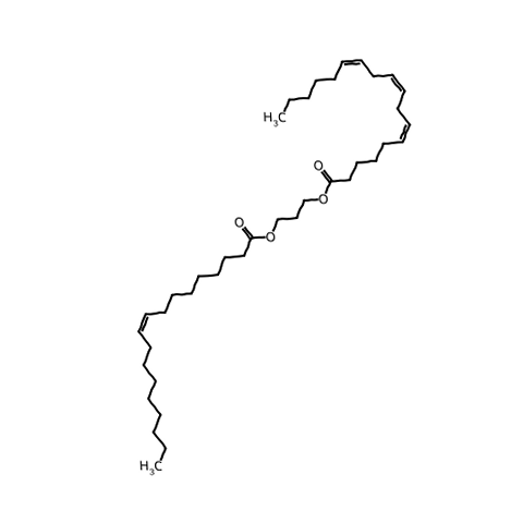 CCCCC/C=C\C/C=C\C/C=C\CCCCC(=O)OCCCOC(=O)CCCCCCC/C=C\CCCCCCCC